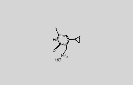 Cc1cc(C2CC2)c(CN)c(=O)[nH]1.Cl